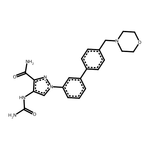 NC(=O)Nc1cn(-c2cccc(-c3ccc(CN4CCOCC4)cc3)c2)nc1C(N)=O